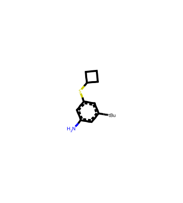 CC(C)(C)c1cc(N)cc(SC2CCC2)c1